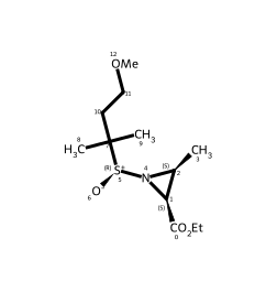 CCOC(=O)[C@@H]1[C@H](C)N1[S@@+]([O-])C(C)(C)CCOC